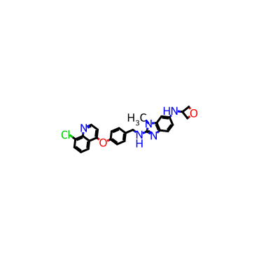 Cn1c(NCc2ccc(Oc3ccnc4c(Cl)cccc34)cc2)nc2ccc(NC3COC3)cc21